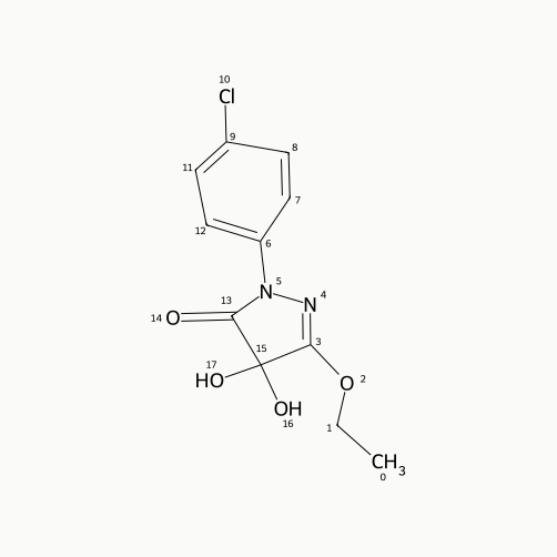 CCOC1=NN(c2ccc(Cl)cc2)C(=O)C1(O)O